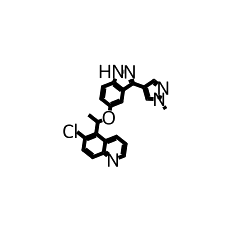 CC(Oc1ccc2[nH]nc(-c3cnn(C)c3)c2c1)c1c(Cl)ccc2ncccc12